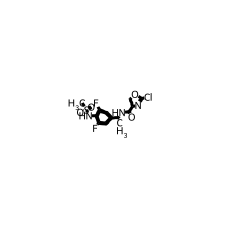 C[C@@H](NC(=O)C1COC(Cl)=N1)c1cc(F)c(NS(C)(=O)=O)c(F)c1